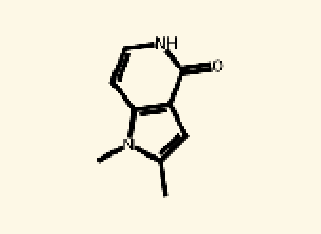 Cc1cc2c(=O)[nH]ccc2n1C